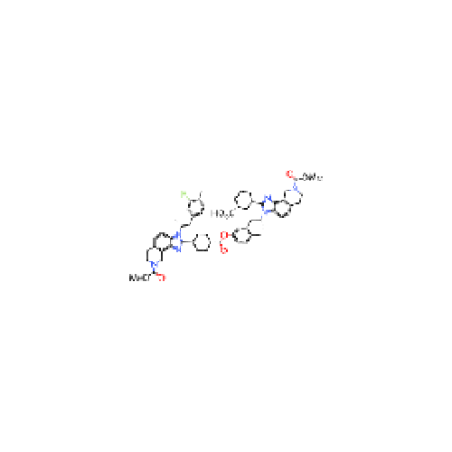 COC(=O)N1CCc2ccc3c(nc([C@@H]4CCC[C@@H](C(=O)O)C4)n3[C@H](C)Cc3cc(OC(=O)[C@H]4CC[C@H](c5nc6c7c(ccc6n5[C@H](C)Cc5ccc(C)c(F)c5)CCN(C(=O)OC)C7)CC4)ccc3C)c2C1